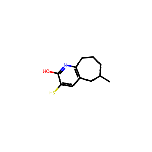 CC1CCCc2nc(O)c(S)cc2C1